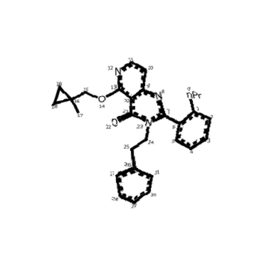 CCCc1ccccc1-c1nc2ccnc(OCC3(C)CC3)c2c(=O)n1CCc1ccccc1